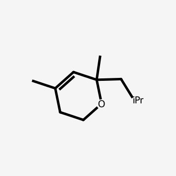 CC1=CC(C)(CC(C)C)OCC1